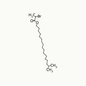 C=C(Br)C(=O)OCCCCCCCCCCCCCCCC(C)C